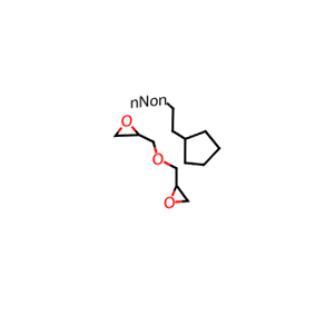 C(OCC1CO1)C1CO1.CCCCCCCCCCCC1CCCC1